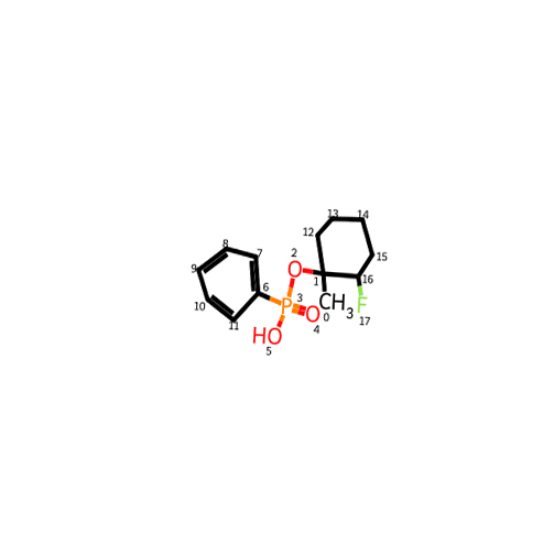 CC1(OP(=O)(O)c2ccccc2)CCCCC1F